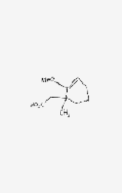 COC1=CCCCC1(C)CC(=O)O